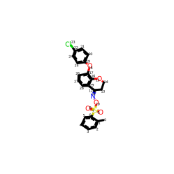 Cc1ccccc1S(=O)(=O)ON=C1CCOc2c(Oc3ccc(Cl)cc3)cccc21